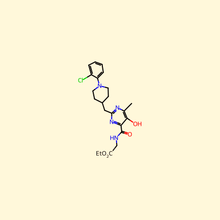 CCOC(=O)CNC(=O)c1nc(CC2CCN(c3ccccc3Cl)CC2)nc(C)c1O